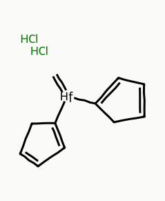 Cl.Cl.[CH2]=[Hf]([C]1=CC=CC1)[C]1=CC=CC1